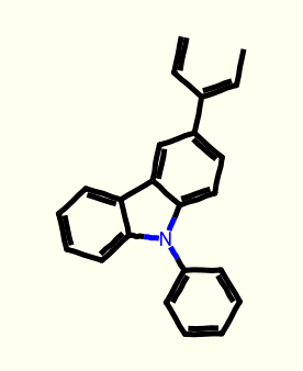 C=C/C(=C\C)c1ccc2c(c1)c1ccccc1n2-c1ccccc1